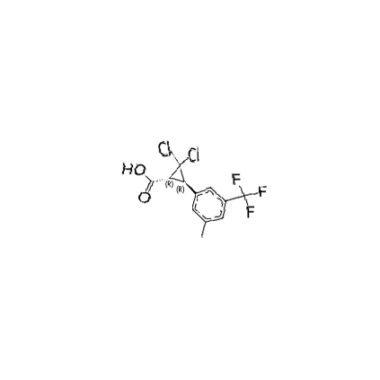 Cc1cc([C@H]2[C@H](C(=O)O)C2(Cl)Cl)cc(C(F)(F)F)c1